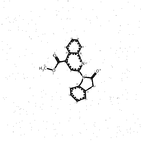 COC(=O)c1cc(N2C(=O)Cc3ccccc32)nc2ccccc12